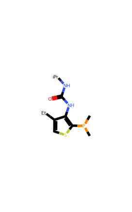 CCc1csc(P(C)C)c1NC(=O)NC(C)C